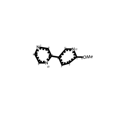 COc1ccc(-c2cnccn2)cn1